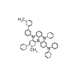 CC1C=CC=C(c2cccc(N3C4=C(CC(C)C(C5C=CC=CC5)=C4)B4c5ccc(N(C6=CC=CCC6)c6ccccc6)cc5N(C5C=CC=CC5)c5cccc3c54)c2)C1